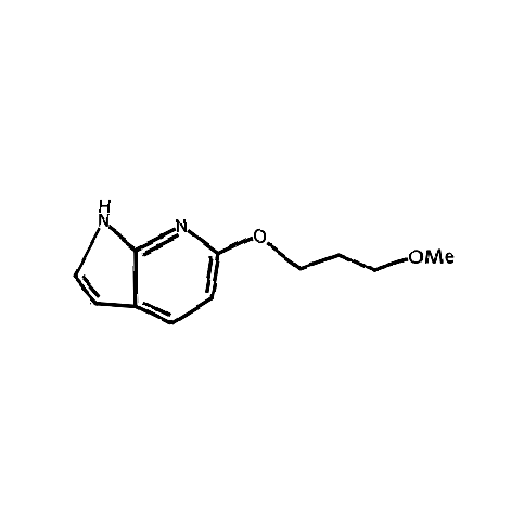 COCCCOc1ccc2[c]c[nH]c2n1